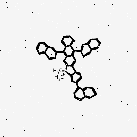 C[Si]1(C)c2cc(-c3cccc4ccccc34)ccc2-c2cc3c(-c4ccc5ccccc5c4)c4ccccc4c(-c4ccc5ccccc5c4)c3cc21